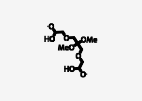 COC(COCC([O])O)(COCC([O])O)OC